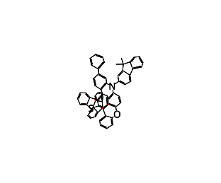 CC1(C)c2ccccc2-c2ccc(N(c3ccc4c(c3)C3(c5ccccc5O4)c4ccccc4-c4ccccc43)c3cc(-c4ccccc4)ccc3-c3cccc4sc5ccccc5c34)cc21